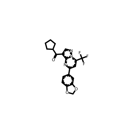 O=C(c1cnn2c(C(F)(F)F)cc(-c3ccc4c(c3)OCO4)nc12)C1CCCC1